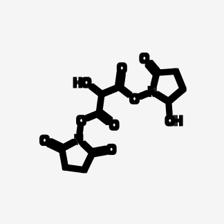 O=C(ON1C(=O)CCC1=O)C(O)C(=O)ON1C(=O)CCC1O